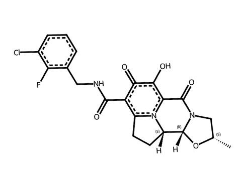 C[C@H]1CN2C(=O)c3c(O)c(=O)c(C(=O)NCc4cccc(Cl)c4F)c4n3[C@@H](CC4)[C@H]2O1